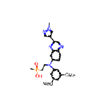 COc1cc(OC)cc(N(CCP(C)(=O)O)c2ccc3ncc(-c4cnn(C)c4)nc3c2)c1